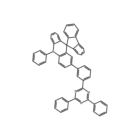 c1ccc(-c2nc(-c3ccccc3)nc(-c3cccc(-c4ccc5c(c4)C4(c6ccccc6-c6ccccc64)c4ccccc4N5c4ccccc4)c3)n2)cc1